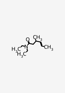 C/C=C/C(C)CC(=O)N(CC)CC